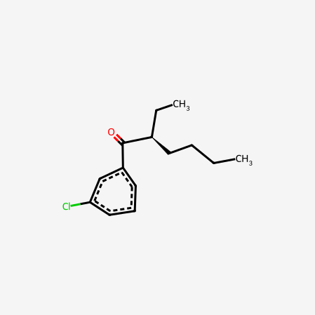 CCCC[C@H](CC)C(=O)c1cccc(Cl)c1